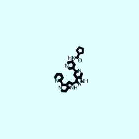 O=C(Nc1cncc(-c2cc3c(-c4cc5c(-c6ccccn6)nccc5[nH]4)n[nH]c3cn2)c1)C1CCCC1